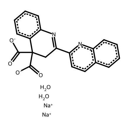 O.O.O=C([O-])C1(C(=O)[O-])CC(c2ccc3ccccc3n2)=Nc2ccccc21.[Na+].[Na+]